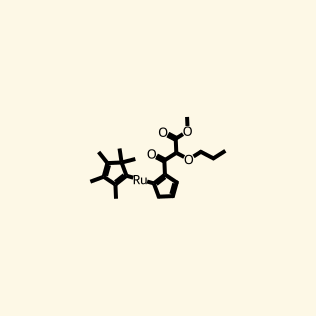 CCCOC(C(=O)OC)C(=O)C1=[C]([Ru][C]2=C(C)C(C)=C(C)C2(C)C)CC=C1